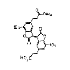 COC(=O)CCc1cc2c(c(C(C)(C)C)c1)OC(=O)C2=C1C(=O)Oc2c1cc(CCC(=O)O)cc2C(C)(C)C